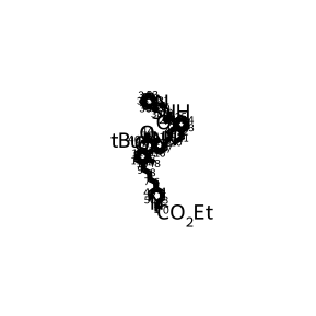 CCOC(=O)CN1CCC(CCCCc2cccc(-c3ccc(N4CCc5cccc(C(=O)Nc6nc7ccccc7s6)c5C4)nc3C(=O)OC(C)(C)C)c2C)CC1